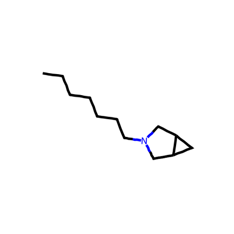 CCCCCCCN1CC2CC2C1